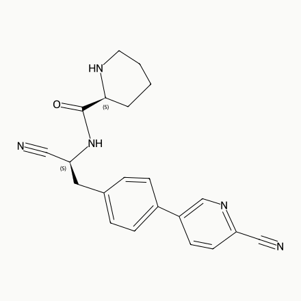 N#Cc1ccc(-c2ccc(C[C@@H](C#N)NC(=O)[C@@H]3CCCCN3)cc2)cn1